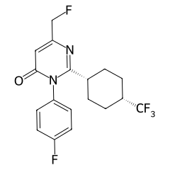 O=c1cc(CF)nc([C@H]2CC[C@@H](C(F)(F)F)CC2)n1-c1ccc(F)cc1